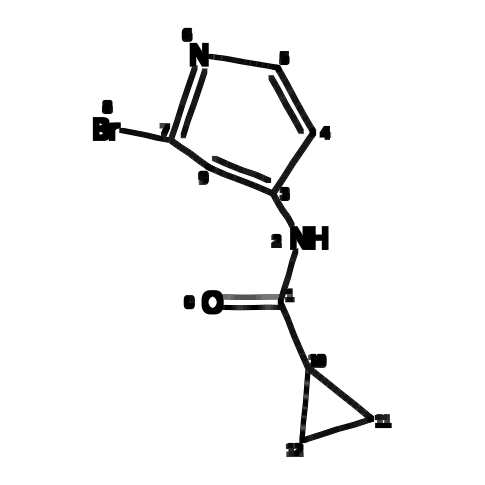 O=C(Nc1ccnc(Br)c1)C1CC1